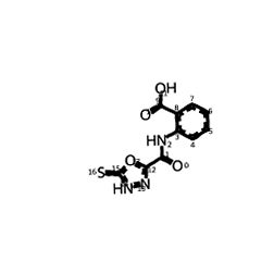 O=C(Nc1ccccc1C(=O)O)c1n[nH]c(=S)o1